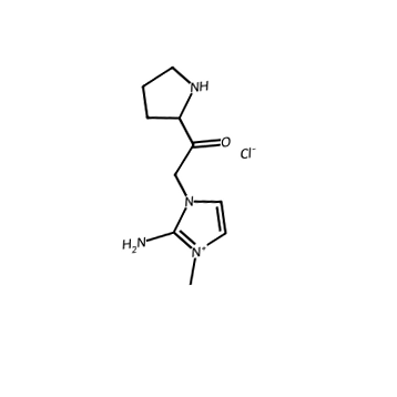 C[n+]1ccn(CC(=O)C2CCCN2)c1N.[Cl-]